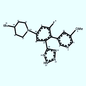 COc1cncc(-c2c(F)cc(N3CCC(C(C)(C)C)CC3)cc2-c2nn[nH]n2)c1